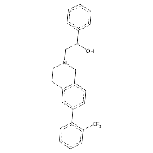 OC(CN1CCc2cc(-c3ccccc3C(F)(F)F)ccc2C1)c1ccccc1